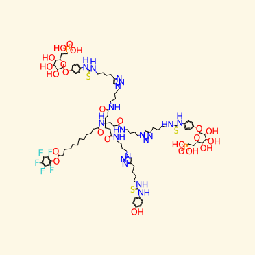 O=C(CCC(CCC(=O)NCCCCn1cc(CCCCNC(=S)Nc2ccc(O[C@H]3O[C@H](CCP(=O)(O)O)[C@@H](O)[C@H](O)[C@@H]3O)cc2)nn1)(CCC(=O)NCCCCn1cc(CCCCNC(=S)Nc2ccc(O[C@H]3O[C@H](CCP(=O)(O)O)[C@@H](O)[C@H](O)[C@@H]3O)cc2)nn1)NC(=O)CCCCCCCCCCC(=O)Oc1c(F)c(F)c(F)c(F)c1F)NCCCCn1cc(CCCCNC(=S)Nc2ccc(O)cc2)nn1